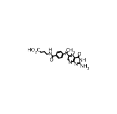 CN(c1ccc(C(=O)NCCCC(=O)O)cc1)c1cnc2nc(N)[nH]c(=O)c2n1